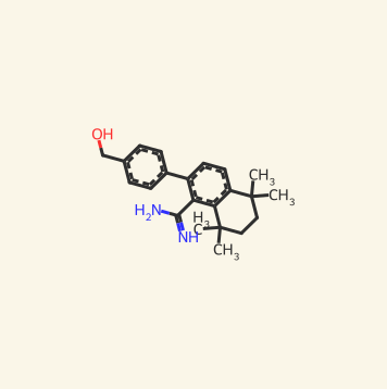 CC1(C)CCC(C)(C)c2c1ccc(-c1ccc(CO)cc1)c2C(=N)N